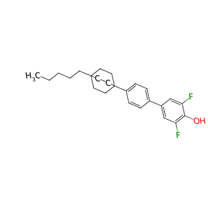 CCCCCC12CCC(c3ccc(-c4cc(F)c(O)c(F)c4)cc3)(CC1)CC2